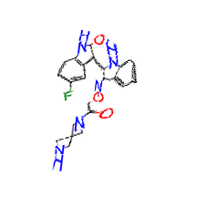 O=C1Nc2ccc(F)cc2/C1=C1/Nc2ccccc2/C1=N\OCC(=O)N1CC2(CNC2)C1